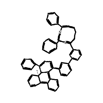 C[C@@]12C=CC=CC1=c1ccccc1=C1C(c3cccc(-c4cccc(/C5=N/C(c6ccccc6)=N\C(c6ccccc6)=C=CCC5)c4)c3)=CC=C(c3ccccc3)C12